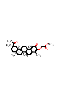 COC(=O)COC1=C(C)C2=CC=C3[C@@](C)(CC[C@@]4(C)[C@@H]5C[C@](C)(C(C)=O)CC[C@]5(C)CC[C@]34C)C2=CC1=O